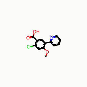 COc1cc(Cl)c(C(=O)O)cc1-c1ccccn1